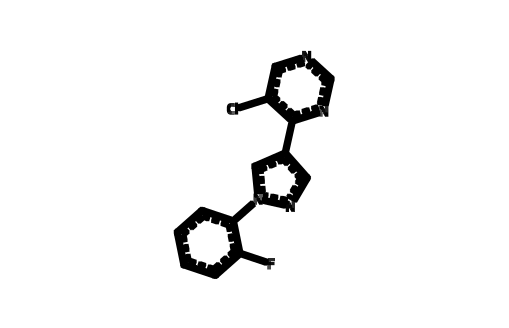 Fc1ccccc1-n1cc(-c2ncncc2Cl)cn1